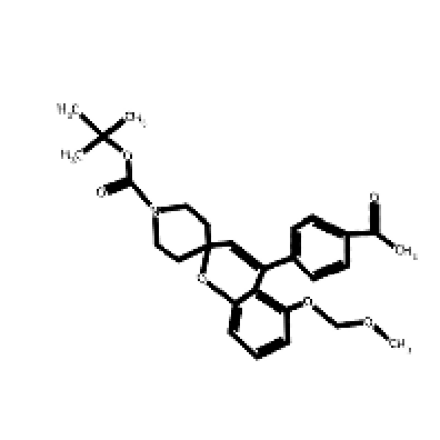 COCOc1cccc2c1C(c1ccc(C(C)=O)cc1)=CC1(CCN(C(=O)OC(C)(C)C)CC1)O2